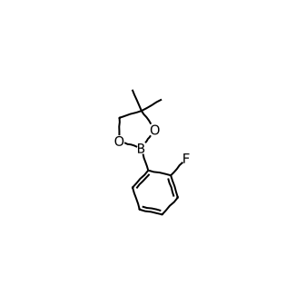 CC1(C)COB(c2ccccc2F)O1